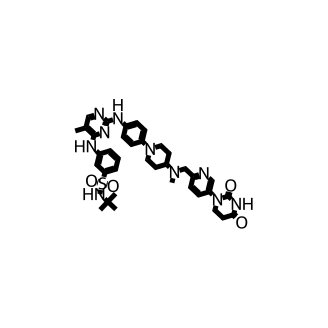 Cc1cnc(Nc2ccc(N3CCC(N(C)Cc4ccc(N5CCC(=O)NC5=O)cn4)CC3)cc2)nc1Nc1cccc(S(=O)(=O)NC(C)(C)C)c1